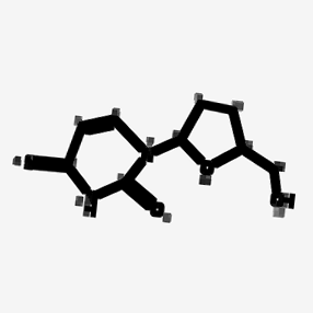 O=c1[nH]c(=S)ccn1C1CCC(CO)O1